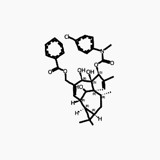 CC1=C[C@]23C(O)[C@@H](C=C(COC(=O)c4ccccc4)[C@@H](O)[C@]2(O)[C@H]1OC(=O)N(C)c1ccc(Cl)cc1)[C@H]1[C@@H](C[C@H]3C)C1(C)C